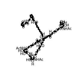 CC(=O)NC1C(OCCOCCOCCNC(=O)CCOCC(COCCC(=O)NCCOCCOCCOC2OC(CO)C(O)C(O)C2NC(C)=O)(COCCC(=O)NCCOCCOCCOC2OC(CO)C(O)C(O)C2NC(C)=O)NC(=O)CCCCCCCCCCC(=O)NCCOC2(OCCNC(=O)CCN3C(=O)C=CC3=O)CCCC2)OC(CO)C(O)C1O